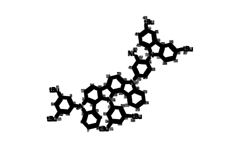 CC(C)(C)c1cc(-n2c3ccccc3c3c2ccc2c4ccc5c(c6ccccc6n5-c5ccc(-n6c7ccc(C(C)(C)C)cc7c7cc(C(C)(C)C)ccc76)c(C#N)c5)c4n(-c4cc(C(C)(C)C)cc(C(C)(C)C)c4)c23)cc(C(C)(C)C)c1